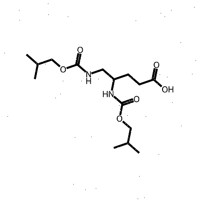 CC(C)COC(=O)NCC(CCC(=O)O)NC(=O)OCC(C)C